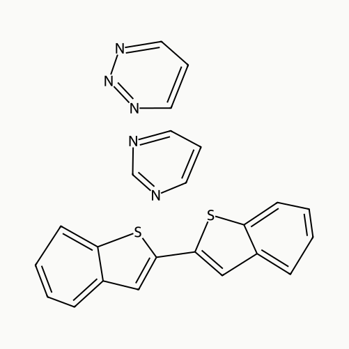 c1ccc2sc(-c3cc4ccccc4s3)cc2c1.c1cncnc1.c1cnnnc1